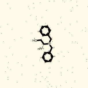 CCC[C@H](CO)N(Cc1ccccc1)Cc1ccccc1